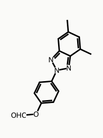 Cc1cc(C)c2nn(-c3ccc(OC=O)cc3)nc2c1